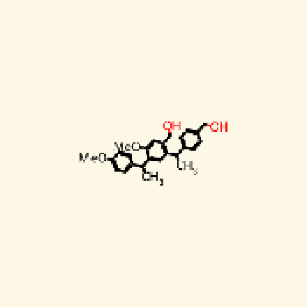 COc1ccc(C(C)c2cc(C(C)c3ccc(CO)cc3)c(CO)cc2OC)cc1